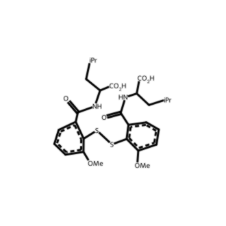 COc1cccc(C(=O)NC(CC(C)C)C(=O)O)c1SSc1c(OC)cccc1C(=O)NC(CC(C)C)C(=O)O